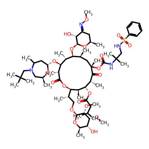 CO/N=C1\C[C@@H](C)O[C@@H](O[C@@H]2[C@@H](C)[C@H](O[C@H]3CC(C)N(CC(C)(C)C)C[C@H](C)O3)[C@@H](C)C(=O)O[C@H]([C@@H](C)CO[C@@H]3O[C@H](C)[C@@H](O)[C@@H](OC)[C@H]3OC)[C@H](C)[C@@H](OC(=O)CC(C)C)[C@@H](C)C(=O)[C@@](C)(OC(=O)NC(C)(C)CNS(=O)(=O)c3ccccc3)C[C@@H]2C)[C@@H]1O